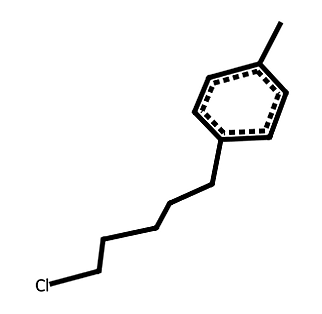 Cc1ccc(CCCCCCl)cc1